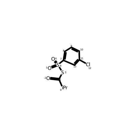 CC(C)C(=O)SS(=O)(=O)c1cccc(Cl)c1